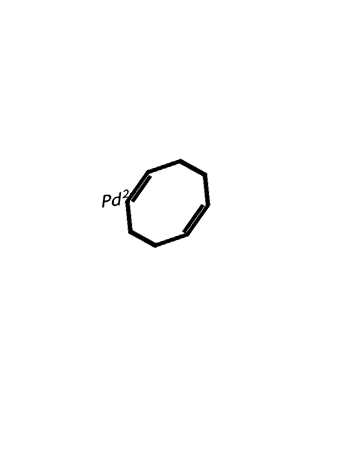 C1=CCCC=CCC1.[Pd+2]